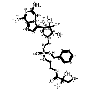 CC(C)(CO)C(=O)SCCOP(=O)(NCc1ccccc1)OC[C@H]1O[C@@](C#N)(c2cnc3c(N)nc(N)nn23)[C@](C)(F)[C@@H]1O